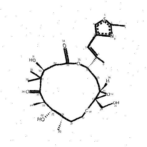 C/C(=C\c1csc(C)n1)[C@@H]1C[C@@H]2O[C@]2(CO)CCC[C@H](C)[C@H](O)[C@@H](C)C(=O)C(C)(C)[C@@H](O)CC(=O)O1